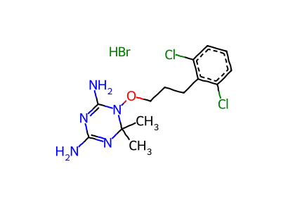 Br.CC1(C)N=C(N)N=C(N)N1OCCCc1c(Cl)cccc1Cl